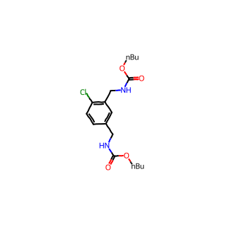 CCCCOC(=O)NCc1ccc(Cl)c(CNC(=O)OCCCC)c1